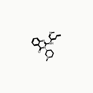 C=C/C=C(\C=N/C)Nc1nc2ccccc2c(=O)n1[C@@H]1CCCN(C)C1